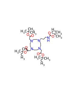 CC(C)(C)OC(=O)CN1CCN(CCCNC(=O)OC(C)(C)C)CCN(CC(=O)OC(C)(C)C)CCN(CC(=O)OC(C)(C)C)CC1